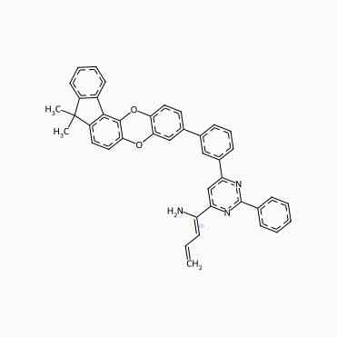 C=C/C=C(\N)c1cc(-c2cccc(-c3ccc4c(c3)Oc3ccc5c(c3O4)-c3ccccc3C5(C)C)c2)nc(-c2ccccc2)n1